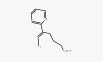 CCC=C(CCCCCCCCCC)c1ccccn1